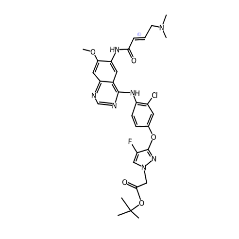 COc1cc2ncnc(Nc3ccc(Oc4nn(CC(=O)OC(C)(C)C)cc4F)cc3Cl)c2cc1NC(=O)/C=C/CN(C)C